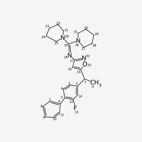 CC(c1ccc(-c2ccccc2)c(F)c1)c1cc(N=C(N2CCCCC2)N2CCCCC2)no1